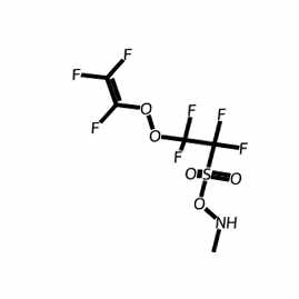 CNOS(=O)(=O)C(F)(F)C(F)(F)OOC(F)=C(F)F